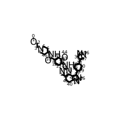 COCCN1CCC(NC(=O)c2ccc(Nc3ncc4c(n3)-c3c(nn(C)c3-c3ccc(-c5cnn(C)c5)cc3)CC4)c(OC)c2)CC1